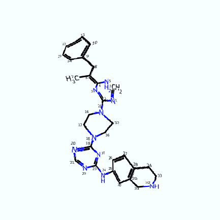 C=N/C(=N\C(N)=C(/C)Cc1ccccc1)N1CCN(c2ncnc(Nc3ccc4c(c3)CNCC4)n2)CC1